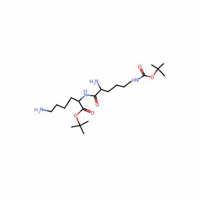 CC(C)(C)OC(=O)NCCCCC(N)C(=O)NC(CCCCN)C(=O)OC(C)(C)C